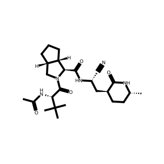 CC(=O)N[C@H](C(=O)N1C[C@@H]2CCC[C@@H]2[C@H]1C(=O)N[C@H](C#N)C[C@@H]1CC[C@@H](C)NC1=O)C(C)(C)C